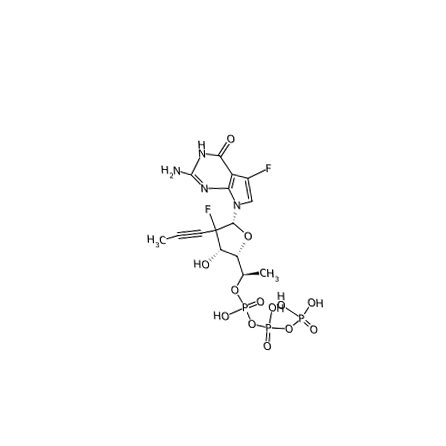 CC#CC1(F)[C@@H](O)[C@@H]([C@@H](C)OP(=O)(O)OP(=O)(O)OP(=O)(O)O)O[C@H]1n1cc(F)c2c(=O)[nH]c(N)nc21